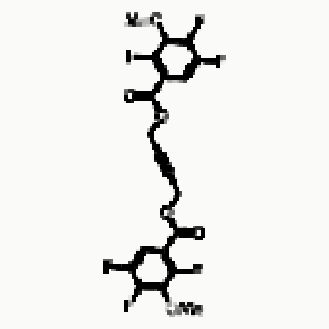 COc1c(F)c(F)cc(C(=O)OCC#CCOC(=O)c2cc(F)c(F)c(OC)c2F)c1F